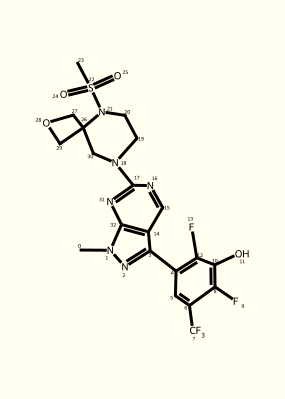 Cn1nc(-c2cc(C(F)(F)F)c(F)c(O)c2F)c2cnc(N3CCN(S(C)(=O)=O)C4(COC4)C3)nc21